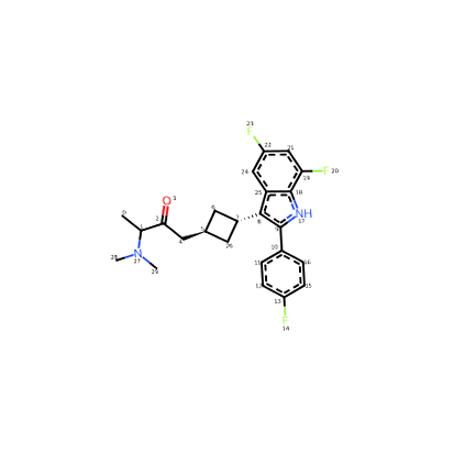 CC(C(=O)C[C@H]1C[C@H](c2c(-c3ccc(F)cc3)[nH]c3c(F)cc(F)cc32)C1)N(C)C